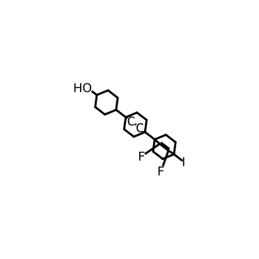 OC1CCC(C23CCC(C45CCC(I)(CC4)C(F)=C5F)(CC2)CC3)CC1